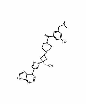 CN(C)Cc1cc(C#N)cc(C(=O)N2CCN([C@H]3C[C@@](CC#N)(n4cc(-c5ncnc6[nH]ccc56)cn4)C3)CC2)c1